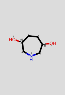 O[C@@H]1CC[C@H](O)CNC1